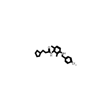 Cc1ccc(NCc2ccc(C(F)(F)F)cc2)c(C)c1NC(=O)CCC1CCCC1